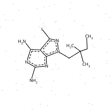 CCC(C)(C)Cn1nc(I)c2c(N)nc(N)nc21